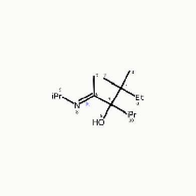 CCC(C)(C)C(O)(/C(C)=N/C(C)C)C(C)C